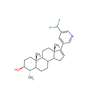 C[C@H]1C2CCC3C(CC[C@]4(C)C(c5cncc(C(F)F)c5)=CCC34)[C@@]2(C)CC[C@@H]1O